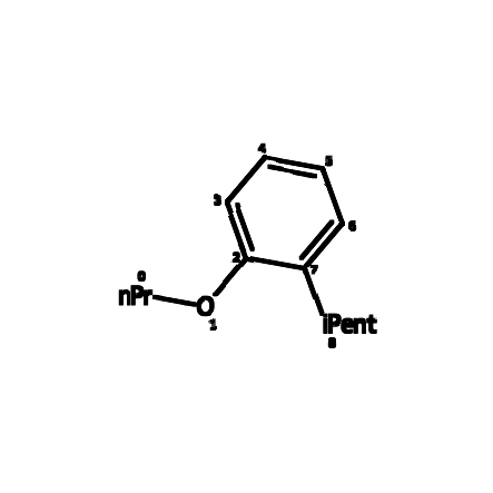 CCCOc1ccccc1C(C)CCC